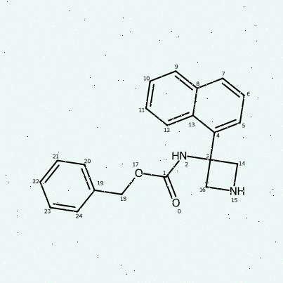 O=C(NC1(c2cccc3ccccc23)CNC1)OCc1ccccc1